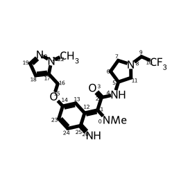 CN/C(C(=O)NC1CCN(CC(F)(F)F)C1)=C1/C=C(OCc2ccnn2C)C=CC1=N